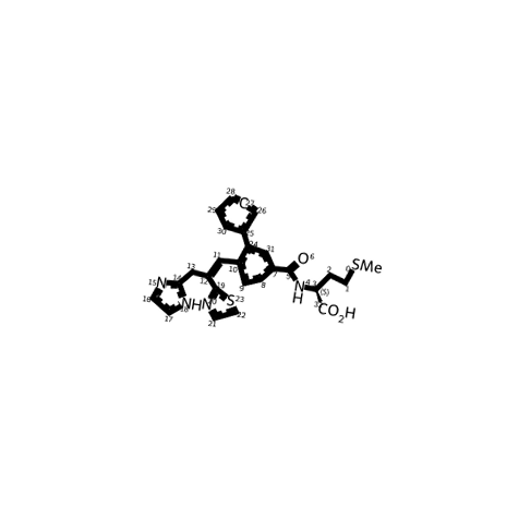 CSCC[C@H](NC(=O)c1ccc(C=C(Cc2ncc[nH]2)c2nccs2)c(-c2ccccc2)c1)C(=O)O